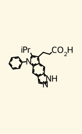 CC(C)c1c(CCC(=O)O)c2cc3[nH]ncc3cc2n1-c1ccccc1